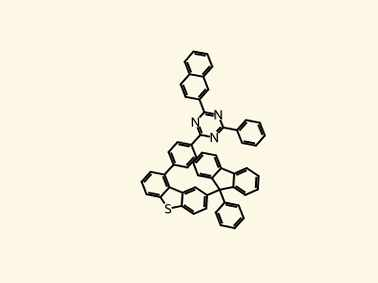 c1ccc(-c2nc(-c3ccc(-c4cccc5sc6ccc(C7(c8ccccc8)c8ccccc8-c8ccccc87)cc6c45)cc3)nc(-c3ccc4ccccc4c3)n2)cc1